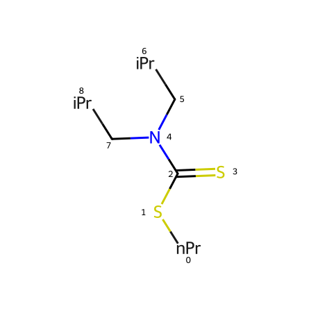 CCCSC(=S)N(CC(C)C)CC(C)C